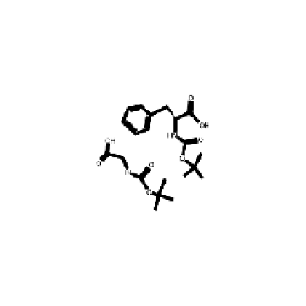 CC(C)(C)OC(=O)NCC(=O)O.CC(C)(C)OC(=O)N[C@@H](Cc1ccccc1)C(=O)O